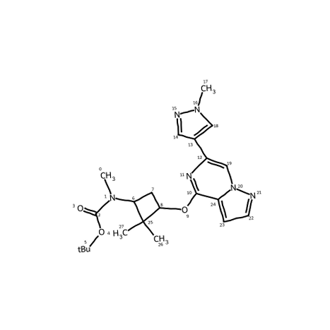 CN(C(=O)OC(C)(C)C)C1CC(Oc2nc(-c3cnn(C)c3)cn3nccc23)C1(C)C